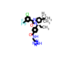 CCC[C@H](c1ccc(C(=O)NCc2nn[nH]n2)cc1)N1C(=O)C(c2cc(Cl)cc(C(F)(F)F)c2)=NC12CCC(C(C)(C)C)CC2